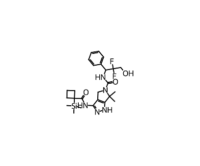 CC1(C)c2[nH]nc(NC(=O)C3([Si](C)(C)C)CCC3)c2CN1C(=O)NC(c1ccccc1)C(F)(F)CO